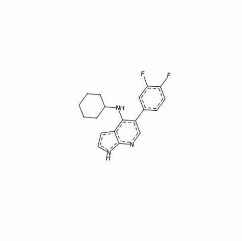 Fc1ccc(-c2cnc3[nH]ccc3c2NC2CCCCC2)cc1F